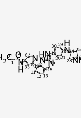 C=CC(=O)Nc1ccnc(-c2cccc3cnc(Nc4ccc(N[C@H]5CCNC5)cc4)nc23)c1